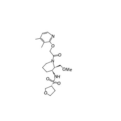 COC[C@H]1[C@@H](NS(=O)(=O)[C@@H]2CCOC2)CCCN1C(=O)COc1nccc(C)c1C